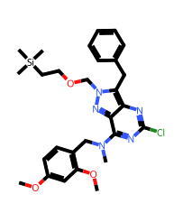 COc1ccc(CN(C)c2nc(Cl)nc3c(Cc4ccccc4)n(COCC[Si](C)(C)C)nc23)c(OC)c1